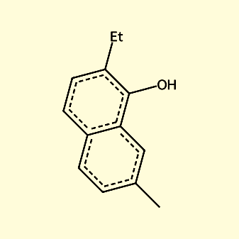 CCc1ccc2ccc(C)cc2c1O